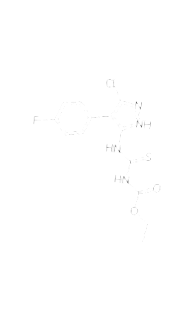 CCOC(=O)NC(=S)Nc1[nH]nc(Cl)c1-c1ccc(F)cc1